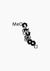 COC1CCCN(C(=O)[C@@H](C)N2CC[C@H](N(C)S(=O)(=O)c3ccc4cc(Cl)ccc4c3)C2=O)C1